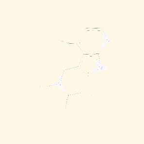 CC(C)N(C)Cc1c[nH]c2nccc(Cl)c12